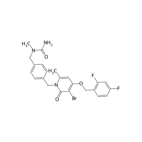 Cc1cc(OCc2ccc(F)cc2F)c(Br)c(=O)n1Cc1ccc(CN(C)C(N)=O)cc1